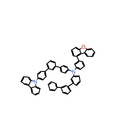 c1ccc(-c2cccc(-c3cccc(N(c4ccc(-c5cccc(-c6ccc(-n7c8ccccc8c8ccccc87)cc6)c5)cc4)c4cccc(-c5cccc6oc7ccccc7c56)c4)c3)c2)cc1